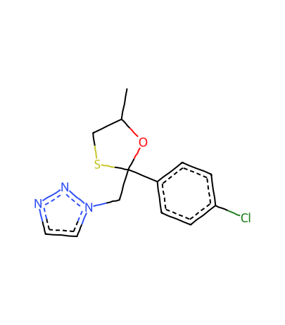 CC1CSC(Cn2ccnn2)(c2ccc(Cl)cc2)O1